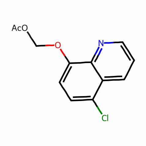 CC(=O)OCOc1ccc(Cl)c2cccnc12